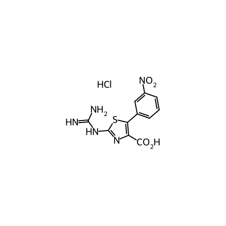 Cl.N=C(N)Nc1nc(C(=O)O)c(-c2cccc([N+](=O)[O-])c2)s1